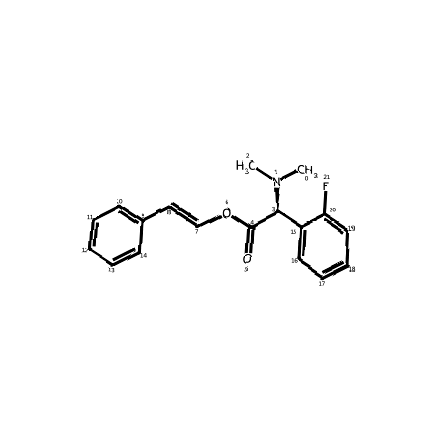 CN(C)[C@H](C(=O)OC=Cc1ccccc1)c1ccccc1F